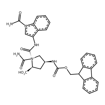 NC(=O)n1cc(NC(=O)[N@+]2(C(N)=O)C[C@@H](NC(=O)OCC3c4ccccc4-c4ccccc43)C[C@H]2C(=O)O)c2ccccc21